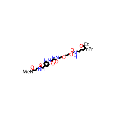 CCCC(CCCCNC(=O)OCCCOCCNC(=O)CC(=O)Nc1ccc(CC(=O)NCCC(=O)NC)cc1)C(=O)CC